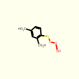 O=C(O)c1ccc(SOOO)c(C(=O)O)c1